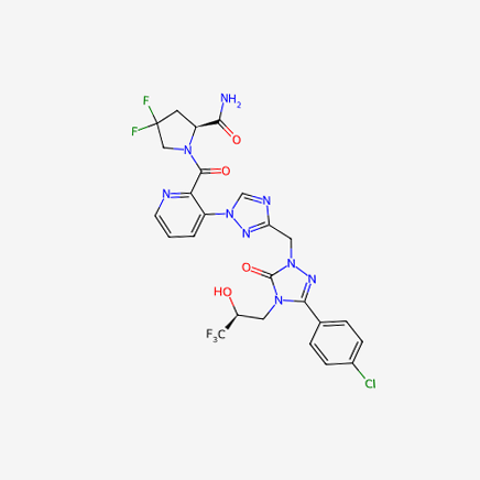 NC(=O)[C@@H]1CC(F)(F)CN1C(=O)c1ncccc1-n1cnc(Cn2nc(-c3ccc(Cl)cc3)n(C[C@H](O)C(F)(F)F)c2=O)n1